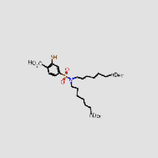 CCCCCCCCCCCCCCCCN(CCCCCCCCCCCCCCCC)S(=O)(=O)c1ccc(C(=O)O)c(S)c1